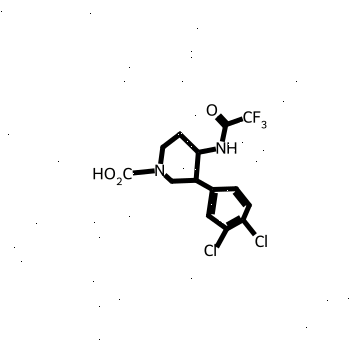 O=C(O)N1CCC(NC(=O)C(F)(F)F)C(c2ccc(Cl)c(Cl)c2)C1